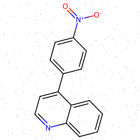 O=[N+]([O-])c1ccc(-c2ccnc3ccccc23)cc1